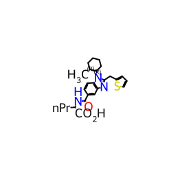 CCCC(NC(=O)c1ccc2c(c1)nc(Cc1cccs1)n2[C@@H]1CCCC[C@H]1C)C(=O)O